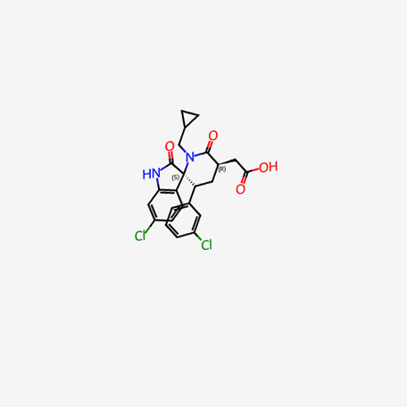 O=C(O)C[C@H]1CC(c2cccc(Cl)c2)[C@]2(C(=O)Nc3cc(Cl)ccc32)N(CC2CC2)C1=O